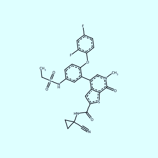 CCS(=O)(=O)Nc1ccc(Oc2ccc(F)cc2F)c(-c2cn(C)c(=O)c3sc(C(=O)NC4(C#N)CC4)cc23)c1